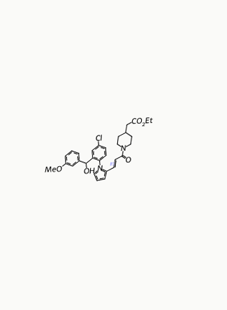 CCOC(=O)CC1CCN(C(=O)/C=C/c2cccn2-c2ccc(Cl)cc2C(O)c2cccc(OC)c2)CC1